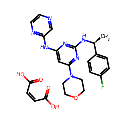 C[C@H](Nc1nc(Nc2cnccn2)cc(N2CCOCC2)n1)c1ccc(F)cc1.O=C(O)/C=C\C(=O)O